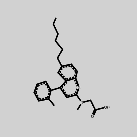 CCCCCCc1ccc2nc(N(C)CC(=O)O)cc(-c3ccccc3C)c2c1